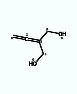 C=C=C(CO)CO